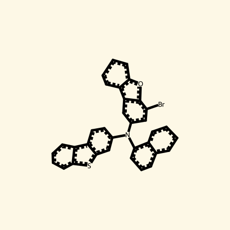 Brc1cc(N(c2ccc3c(c2)sc2ccccc23)c2cccc3ccccc23)cc2c1oc1ccccc12